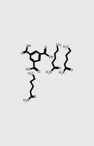 CCCCCC(N)=O.CCCCCC(N)=O.CCCCCC(N)=O.O=C(O)c1cc(C(=O)O)cc(C(=O)O)c1